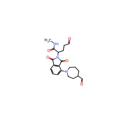 CNC(=O)C(CCC=O)N1C(=O)c2cccc(N3CCCC(C=O)CC3)c2C1=O